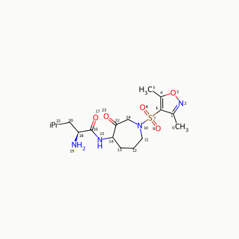 Cc1noc(C)c1S(=O)(=O)N1CCCC(NC(=O)[C@@H](N)CC(C)C)C(=O)C1